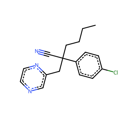 CCCCC(C#N)(Cc1cnccn1)c1ccc(Cl)cc1